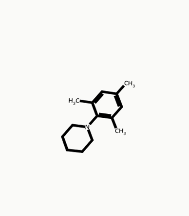 Cc1cc(C)c(N2CCCCC2)c(C)c1